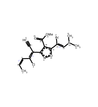 C#C/C(=C(Cl)\C=C/C)c1noc(/C(=C/N(C)C)C(C)=O)c1C(=O)OC